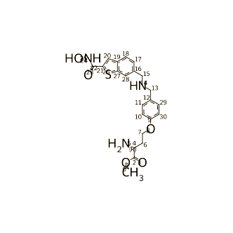 COC(=O)[C@H](N)CCOc1ccc(CNCc2ccc3cc(C(=O)NO)sc3c2)cc1